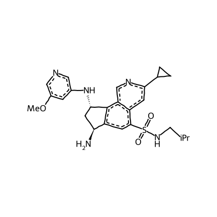 COc1cncc(N[C@H]2C[C@H](N)c3cc(S(=O)(=O)NCC(C)C)c4cc(C5CC5)ncc4c32)c1